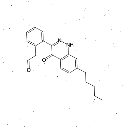 CCCCCc1ccc2c(=O)c(-c3ccccc3CC=O)n[nH]c2c1